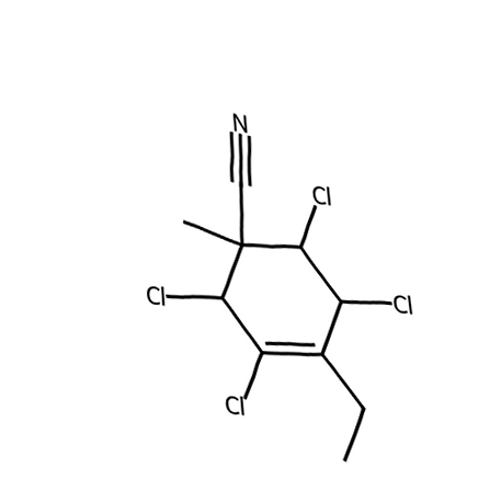 CCC1=C(Cl)C(Cl)C(C)(C#N)C(Cl)C1Cl